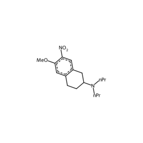 CCCN(CCC)C1CCc2cc(OC)c([N+](=O)[O-])cc2C1